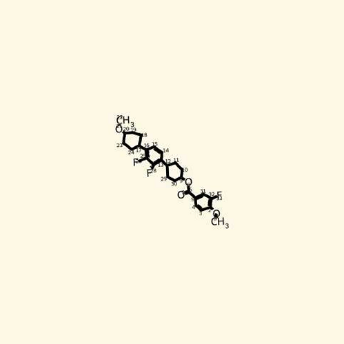 COc1ccc(C(=O)OC2CCC(c3ccc(C4CCC(OC)CC4)c(F)c3F)CC2)cc1F